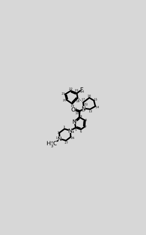 CN1CCN(c2cccc(C(=O)N3CCCC[C@H]3c3ccccc3F)n2)CC1